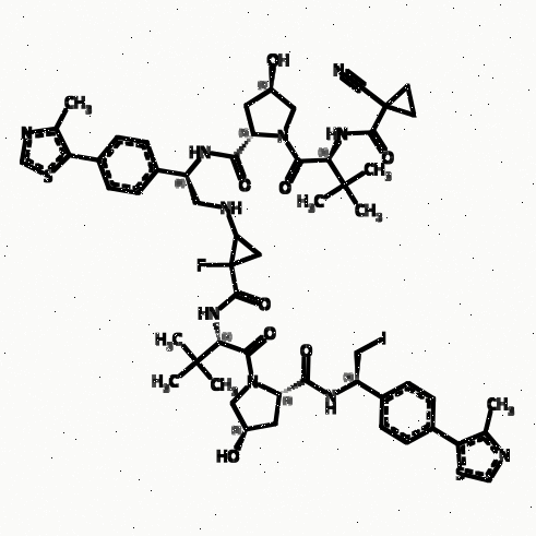 Cc1ncsc1-c1ccc([C@H](CNC2CC2(F)C(=O)N[C@H](C(=O)N2C[C@H](O)C[C@H]2C(=O)N[C@@H](CI)c2ccc(-c3scnc3C)cc2)C(C)(C)C)NC(=O)[C@@H]2C[C@@H](O)CN2C(=O)[C@@H](NC(=O)C2(C#N)CC2)C(C)(C)C)cc1